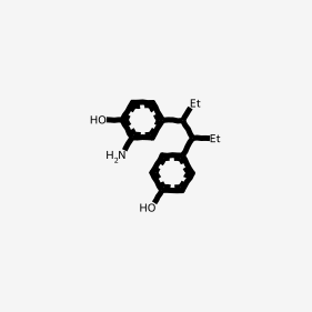 CCC(c1ccc(O)cc1)C(CC)c1ccc(O)c(N)c1